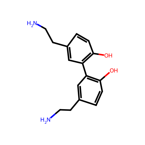 NCCc1ccc(O)c(-c2cc(CCN)ccc2O)c1